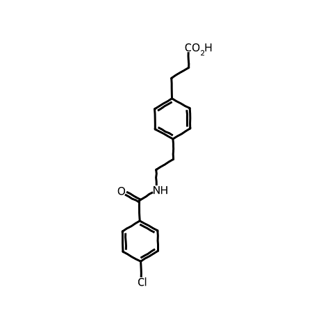 O=C(O)CCc1ccc(CCNC(=O)c2ccc(Cl)cc2)cc1